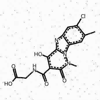 Cc1cc2c(cc1Cl)nc1c(O)c(C(=O)NCC(=O)O)c(=O)n(C)n12